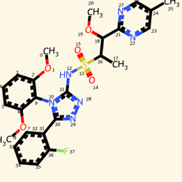 COc1cccc(OC)c1-n1c(NS(=O)(=O)C(C)C(OC)c2ncc(C)cn2)nnc1-c1ccccc1F